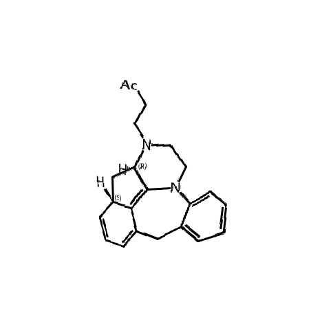 CC(=O)CCN1CCN2C3=C4C(=CC=C[C@@H]4C[C@H]31)Cc1ccccc12